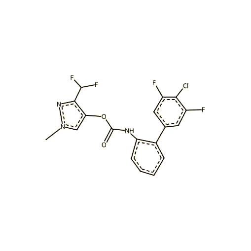 Cn1cc(OC(=O)Nc2ccccc2-c2cc(F)c(Cl)c(F)c2)c(C(F)F)n1